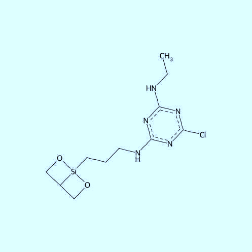 CCNc1nc(Cl)nc(NCCC[Si]23OCC2CO3)n1